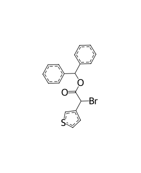 O=C(OC(c1ccccc1)c1ccccc1)C(Br)c1ccsc1